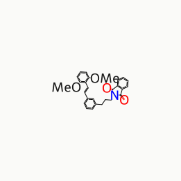 COc1cccc(OC)c1C=Cc1cccc(CCCN2C(=O)c3ccccc3C2=O)c1